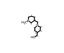 CN1CCCC(CN2CCC(CO)CC2)C1